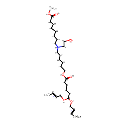 CCCCCC/C=C/COC(CCCCC(=O)OCCCCCCN(CCO)CCCCCCCC(=O)OCCCCCCCCC)OC/C=C/CCCCCC